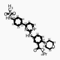 CC(C)OC(=O)c1cc(Nc2nccc(-c3ccc(NS(C)(=O)=O)cc3)n2)ccc1N1CCOCC1